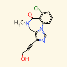 CN1Cc2c(C#CCO)ncn2-c2cccc(Cl)c2C1=O